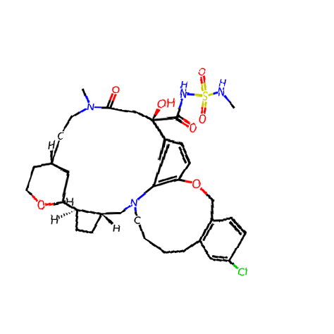 CNS(=O)(=O)NC(=O)[C@@]1(O)CC(=O)N(C)CC[C@H]2CCO[C@@H](C2)[C@@H]2CC[C@H]2CN2CCCCc3cc(Cl)ccc3COc3ccc1cc32